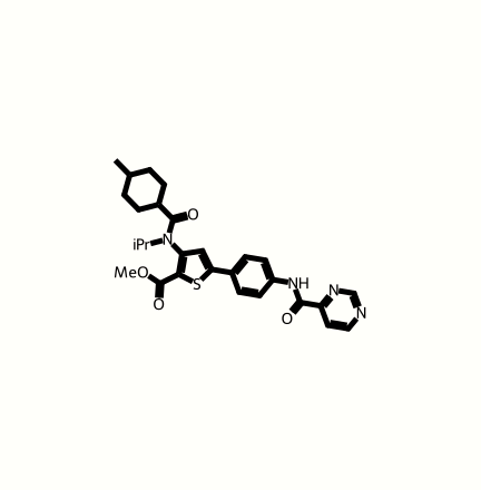 COC(=O)c1sc(-c2ccc(NC(=O)c3ccncn3)cc2)cc1N(C(=O)C1CCC(C)CC1)C(C)C